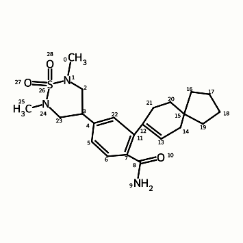 CN1CC(c2ccc(C(N)=O)c(C3=CCC4(CCCC4)CC3)c2)CN(C)S1(=O)=O